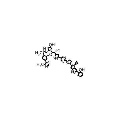 Cc1ncsc1-c1ccc([C@H](C)NC(=O)[C@@H]2C[C@@H](O)CN2C(=O)[C@@H](c2cc(-c3cnc(N4CC[C@@H](c5cc6nnc(-c7ccccc7O)cc6n5C5CC5)C4)nc3)no2)C(C)C)cc1